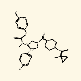 CN(C(=O)Oc1ccc(F)cc1)[C@H]1CN(C(=O)C2CCN(C(=O)C3(C)CC3)CC2)C[C@@H]1c1ccc(F)cc1